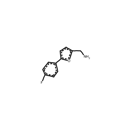 NCc1ccc(-c2ccc(F)cc2)o1